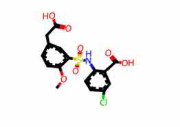 COc1ccc(CC(=O)O)cc1S(=O)(=O)Nc1ccc(Cl)cc1C(=O)O